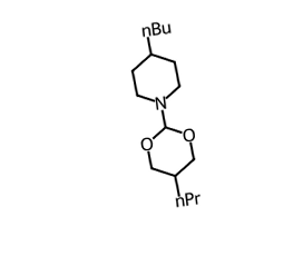 CCCCC1CCN(C2OCC(CCC)CO2)CC1